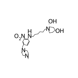 CN1CCN(Cc2ccc(NCCCCCCN3CC[C@@H](O)C[C@H]3CO)c([N+](=O)[O-])c2)CC1